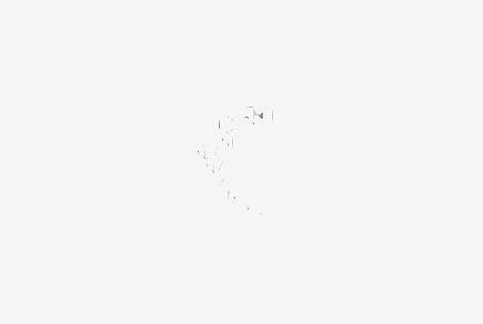 Cn1ccc(-c2cccc(Nc3ccnc4[nH]c(C5=CCN(C(=O)OC(C)(C)C)CC5)cc34)c2)n1